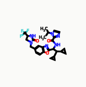 CC(C)n1ccnc1C(=O)NC(c1nc2cc(CN3CC(C(F)(F)F)NC3=O)ccc2o1)C(C1CC1)C1CC1